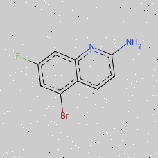 Nc1ccc2c(Br)cc(F)cc2n1